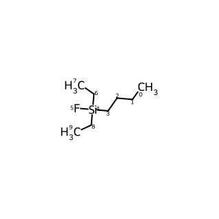 CCCC[Si](F)(CC)CC